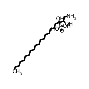 CCCCCCCCCCCCCCCCCCC(O)(C(O)CN)P(=O)(O)O